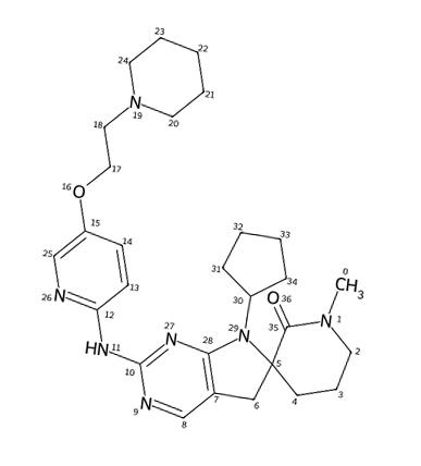 CN1CCCC2(Cc3cnc(Nc4ccc(OCCN5CCCCC5)cn4)nc3N2C2CCCC2)C1=O